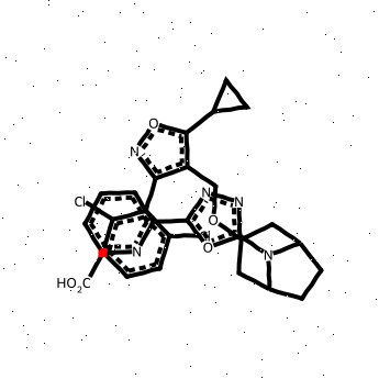 O=C(O)c1cccc(-c2nnc(N3C4CCC3CC(OCc3c(-c5c(Cl)cccc5Cl)noc3C3CC3)C4)o2)n1